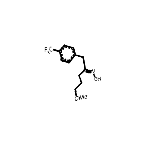 COCCC/C(Cc1ccc(C(F)(F)F)cc1)=N\O